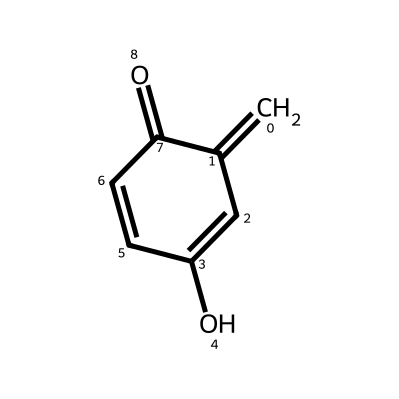 C=C1C=C(O)C=CC1=O